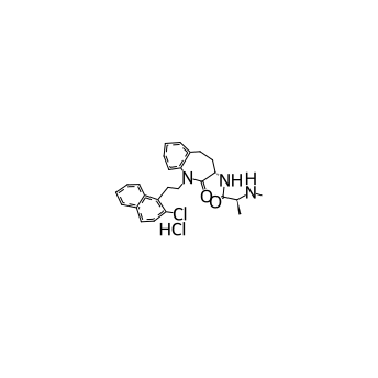 CN[C@@H](C)C(=O)N[C@H]1CCc2ccccc2N(CCc2c(Cl)ccc3ccccc23)C1=O.Cl